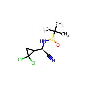 CC(C)(C)[S+]([O-])N[C@@H](C#N)C1CC1(Cl)Cl